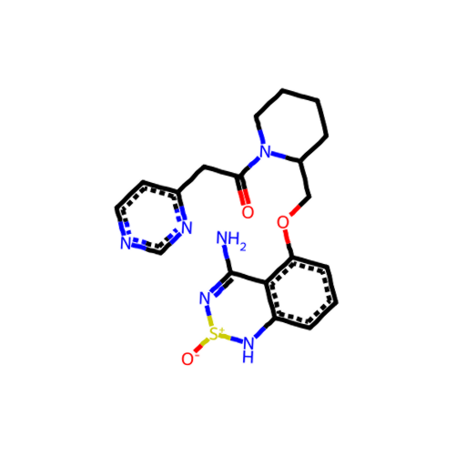 NC1=N[S+]([O-])Nc2cccc(OCC3CCCCN3C(=O)Cc3ccncn3)c21